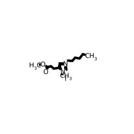 CCCCCCn1cc(CCC(=O)OC)[n+](C)c1.[I-]